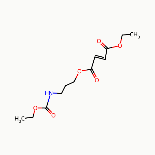 CCOC(=O)/C=C/C(=O)OCCCNC(=O)OCC